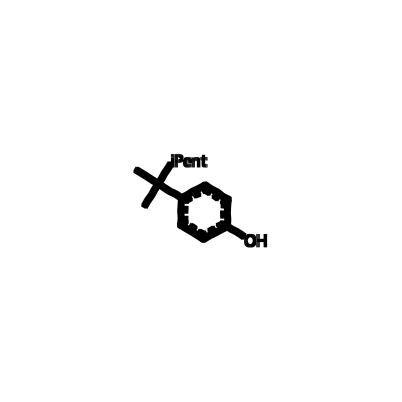 CCCC(C)C(C)(C)c1ccc(O)cc1